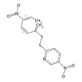 C=C(/C=C\C(=C/C)[N+](=O)[O-])SSc1ccc([N+](=O)[O-])cn1